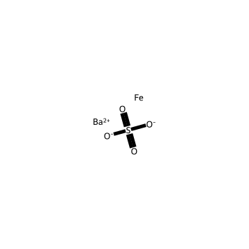 O=S(=O)([O-])[O-].[Ba+2].[Fe]